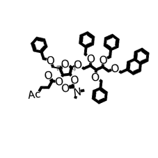 CC(=O)CCC(=O)OC1C(OC(=O)N(C)C)[C@H](OCC(OCc2ccccc2)C(OCc2ccccc2)C(COCc2ccc3ccccc3c2)OCc2ccccc2)O[C@@H]1COCc1ccccc1